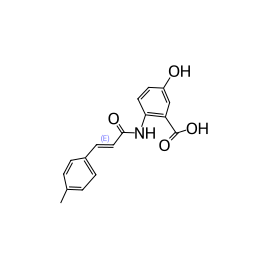 Cc1ccc(/C=C/C(=O)Nc2ccc(O)cc2C(=O)O)cc1